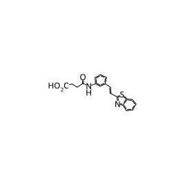 O=C(O)CCC(=O)Nc1cccc(/C=C/c2nc3ccccc3s2)c1